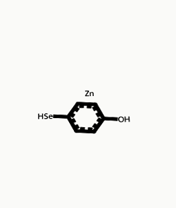 Oc1ccc([SeH])cc1.[Zn]